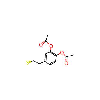 CC(=O)Oc1ccc(CC=S)cc1OC(C)=O